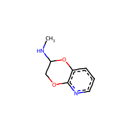 CNC1COc2ncccc2O1